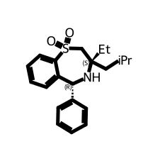 CC[C@]1(CC(C)C)CS(=O)(=O)c2ccccc2[C@@H](c2ccccc2)N1